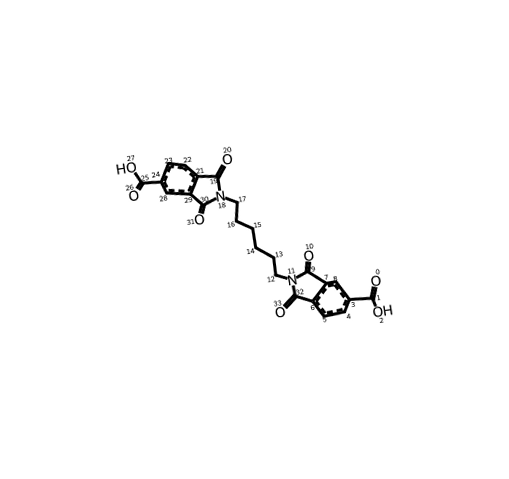 O=C(O)c1ccc2c(c1)C(=O)N(CCCCCCN1C(=O)c3ccc(C(=O)O)cc3C1=O)C2=O